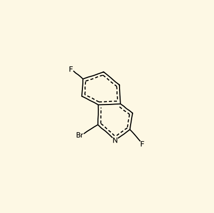 Fc1ccc2cc(F)nc(Br)c2c1